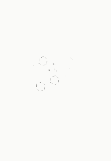 CC1C(C(=O)O)C1C1CN(S(=O)(=O)c2cccc(C(F)(F)F)c2)c2cc(-c3cc(F)cc(OC(F)F)c3)ccc2O1